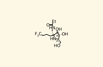 CCC(=O)NC[C@@]1(CCCC(F)(F)F)N[C@H](CO)[C@@H](O)[C@@H]1O